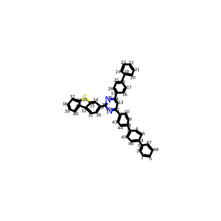 c1ccc(-c2ccc(-c3ccc(-c4cc(-c5ccc(-c6ccccc6)cc5)nc(-c5ccc6c(c5)sc5ccccc56)n4)cc3)cc2)cc1